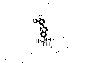 CC(=N)Nc1ccc2nc(-c3ccc(Cl)c(Cl)c3)ccc2c1